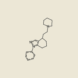 c1ccc(-n2ncc3c2CCCC3CCN2CCCCC2)cc1